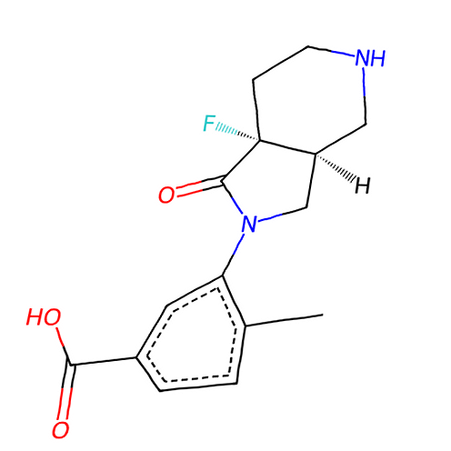 Cc1ccc(C(=O)O)cc1N1C[C@@H]2CNCC[C@]2(F)C1=O